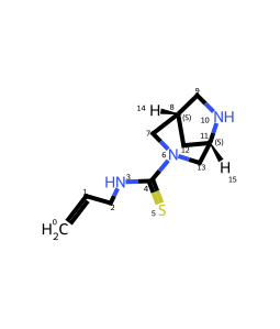 C=CCNC(=S)N1C[C@@H]2CN[C@@H](C2)C1